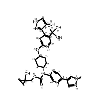 Cn1cc(-c2cnc(N(C(=O)OCC3(O)CC3)[C@H]3CC[C@H](Oc4ncc(C(O)(O)O)c(-c5n[nH]cc5O)n4)CC3)cn2)cn1